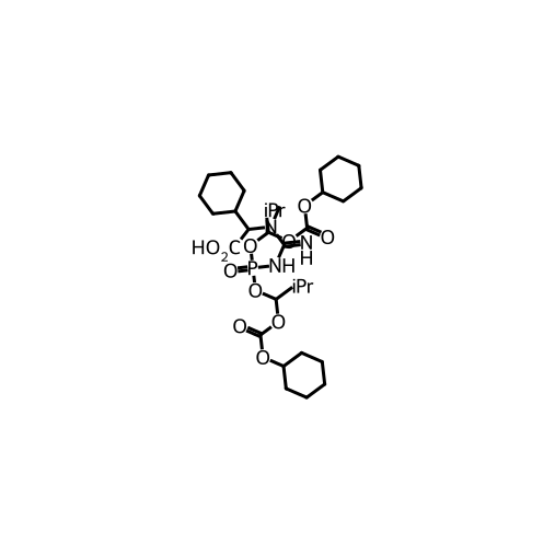 CC(C)C(OC(=O)OC1CCCCC1)OP(=O)(NC(=N)N(C)C(C(=O)O)C1CCCCC1)OC(OC(=O)OC1CCCCC1)C(C)C